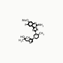 COc1cc2nc(N)n3nc([C@@H]4CN(c5cnn(CC(C)(C)O)c5)CC[C@@H]4C)nc3c2cc1F